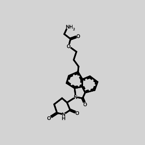 NCC(=O)OCCCc1ccc2c3c(cccc13)C(=O)N2C1CCC(=O)NC1=O